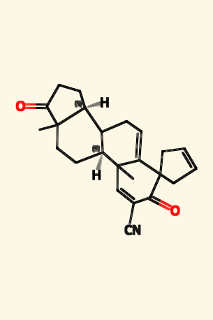 CC12C=C(C#N)C(=O)C3(CC=CC3)C1=CCC1[C@@H]2CCC2(C)C(=O)CC[C@@H]12